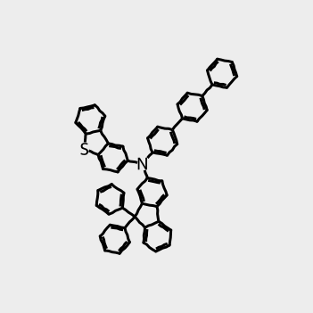 c1ccc(-c2ccc(-c3ccc(N(c4ccc5c(c4)C(c4ccccc4)(c4ccccc4)c4ccccc4-5)c4ccc5sc6ccccc6c5c4)cc3)cc2)cc1